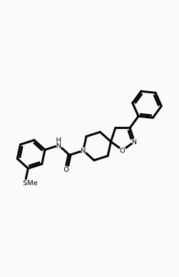 CSc1cccc(NC(=O)N2CCC3(CC2)CC(c2ccccc2)=NO3)c1